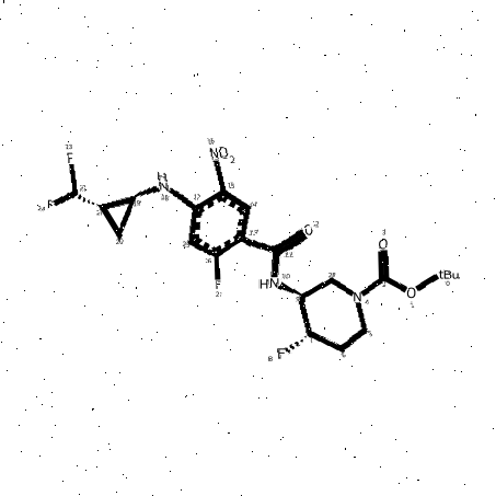 CC(C)(C)OC(=O)N1CC[C@H](F)[C@@H](NC(=O)c2cc([N+](=O)[O-])c(N[C@H]3C[C@@H]3C(F)F)cc2F)C1